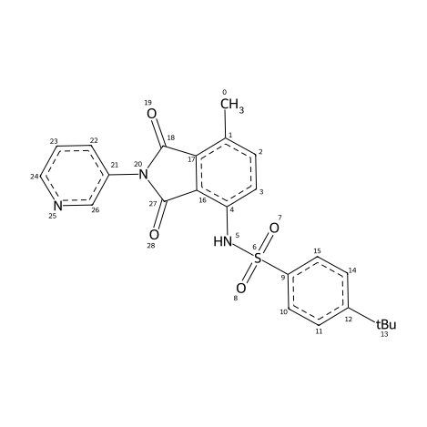 Cc1ccc(NS(=O)(=O)c2ccc(C(C)(C)C)cc2)c2c1C(=O)N(c1cccnc1)C2=O